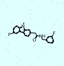 Cn1c2ccc(F)cc2c2ccc(CC(=O)NCc3cccc(F)c3)cc21